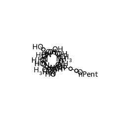 CCCCCOc1ccc(-c2ccc(-c3ccc(C(=O)N[C@H]4C[C@@H](O)C(NC(CO)CO)NC(=O)C5[C@@H](O)[C@@H](C)CN5C(=O)C([C@@H](C)O)NC(=O)C([C@H](O)[C@@H](O)c5ccc(O)cc5)NC(=O)C5C[C@@H](O)CC5C(=O)C([C@@H](C)O)NC4=O)cc3)cc2)cc1